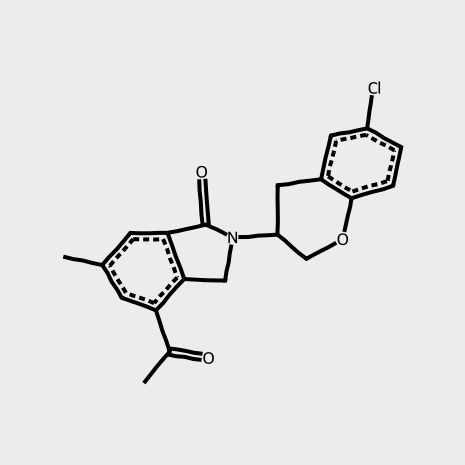 CC(=O)c1cc(C)cc2c1CN(C1COc3ccc(Cl)cc3C1)C2=O